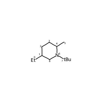 CCC1CCC(C)N(C(C)(C)C)C1